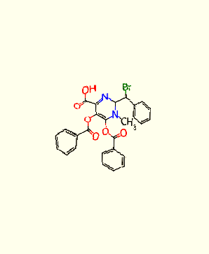 CN1C(OC(=O)c2ccccc2)=C(OC(=O)c2ccccc2)C(C(=O)O)=NC1C(Br)c1ccccc1